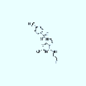 Cc1ccc(S(=O)(=O)n2ccc3c(NCCF)nc(Cl)nc32)cc1